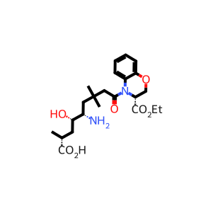 CCOC(=O)[C@H]1COc2ccccc2N1C(=O)CC(C)(C)C[C@H](N)[C@@H](O)C[C@@H](C)C(=O)O